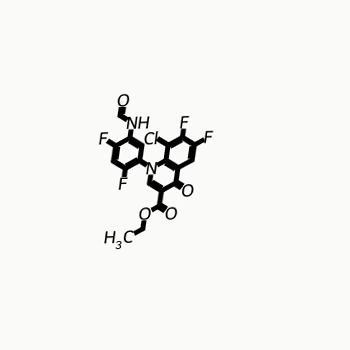 CCOC(=O)c1cn(-c2cc(NC=O)c(F)cc2F)c2c(Cl)c(F)c(F)cc2c1=O